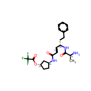 C[C@H](N)C(=O)N[C@H](/C=C/C(=O)N[C@H]1CC[C@H](OC(=O)C(F)(F)F)C1)CCc1ccccc1